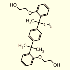 CC(C)(c1ccc(C(C)(C)c2ccccc2OCCO)cc1)c1ccccc1OCCO